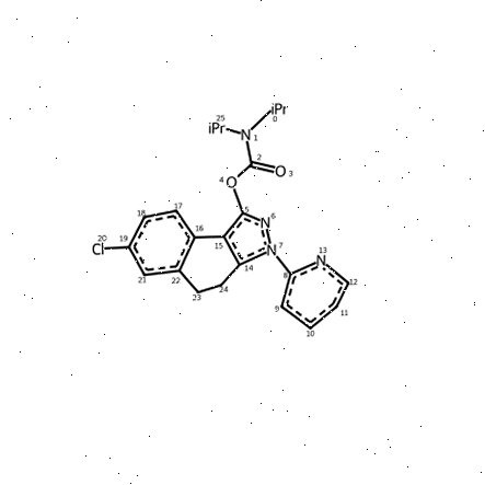 CC(C)N(C(=O)Oc1nn(-c2ccccn2)c2c1-c1ccc(Cl)cc1CC2)C(C)C